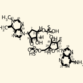 C=C1c2ncn([C@@H]3C[C@@H]4OP(O)(=S)O[C@H]5[C@@H](F)[C@H](n6cnc7c(N)ncnc76)O[C@@H]5COP(=O)(S)O[C@@H]3[C@@H]4O)c2N=CN1C